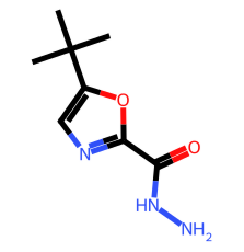 CC(C)(C)c1cnc(C(=O)NN)o1